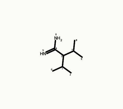 CC(C)C(C(=N)N)C(C)C